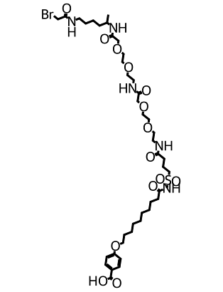 CC(CCCCNC(=O)CBr)NC(=O)COCCOCCNC(=O)COCCOCCNC(=O)CCCS(=O)(=O)NC(=O)CCCCCCCCCOc1ccc(C(=O)O)cc1